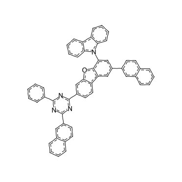 c1ccc(-c2nc(-c3ccc4ccccc4c3)nc(-c3ccc4c(c3)oc3c(-n5c6ccccc6c6ccccc65)cc(-c5ccc6ccccc6c5)cc34)n2)cc1